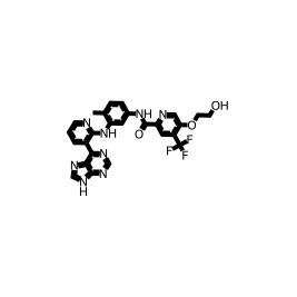 Cc1ccc(NC(=O)c2cc(C(F)(F)F)c(OCCO)cn2)cc1Nc1ncccc1-c1ncnc2[nH]cnc12